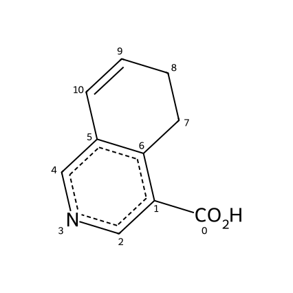 O=C(O)c1cncc2c1CCC=C2